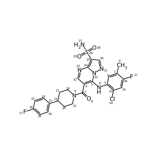 Cc1cc(Nc2c(C(=O)N3CCC(c4ccc(F)cc4)CC3)cnc3c(S(N)(=O)=O)cnn23)c(Cl)cc1F